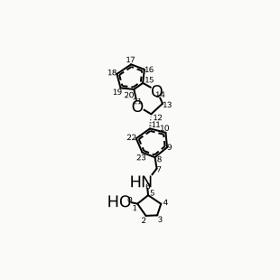 OC1CCCC1NCc1ccc([C@H]2COc3ccccc3O2)cc1